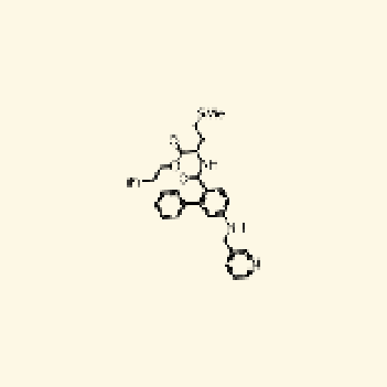 CSCCC(NC(=O)c1ccc(NCc2cccnc2)cc1-c1ccccc1)C(=O)OCCC(C)C